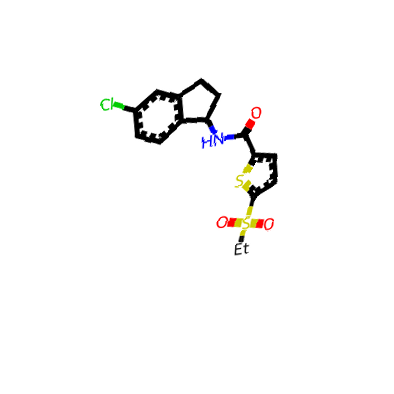 CCS(=O)(=O)c1ccc(C(=O)NC2CCc3cc(Cl)ccc32)s1